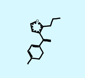 C=C(C1=CC=C(C)CC1)c1ccoc1CCC